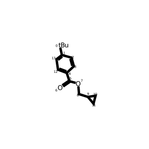 CC(C)(C)c1ccc(C(=O)OCC2CC2)cc1